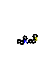 C1=c2sc3ccc4cc(Cn5c6ccccc6c6c7ccccc7ccc65)ccc4c3c2=CCC1